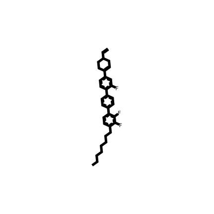 C=CC1CC=C(c2ccc(-c3ccc(-c4ccc(CCCCCCCC)c(F)c4F)cc3)c(F)c2)CC1